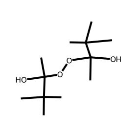 CC(C)(C)C(C)(O)OOC(C)(O)C(C)(C)C